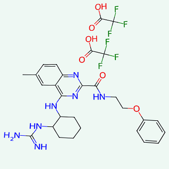 Cc1ccc2nc(C(=O)NCCOc3ccccc3)nc(NC3CCCCC3NC(=N)N)c2c1.O=C(O)C(F)(F)F.O=C(O)C(F)(F)F